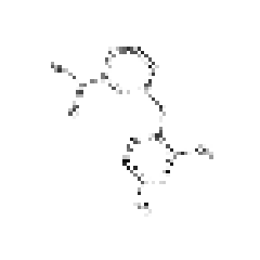 Cc1ccc(Oc2cccc(C(=O)O)c2)c(C)c1